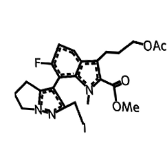 COC(=O)c1c(CCCOC(C)=O)c2ccc(F)c(-c3c(CI)nn4c3CCC4)c2n1C